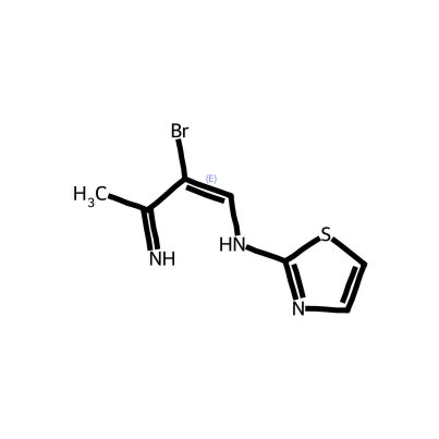 CC(=N)/C(Br)=C\Nc1nccs1